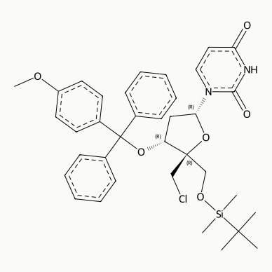 COc1ccc(C(O[C@@H]2C[C@H](n3ccc(=O)[nH]c3=O)O[C@]2(CCl)CO[Si](C)(C)C(C)(C)C)(c2ccccc2)c2ccccc2)cc1